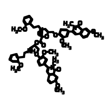 COc1ccc2cc(-c3ccc(OCC(CNCCc4ccccc4OC)OC(=O)C(=O)OC(CNCCc4ccccc4OC)COc4ccc(-c5cc6ccc(OC)cc6c(=O)n5C)cc4OC)c(OC)c3)n(C)c(=O)c2c1